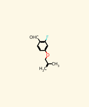 C=C(C)COc1ccc(C=O)c(F)c1